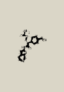 NC(=O)OC[C@@H](C(=O)Nc1cc2ccncc2s1)c1ccc(CO)cc1